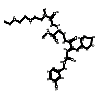 CCOCCOCCN(C)C(=O)CC[C@H](CCC(=O)/C(CC1CCCCC1)=N/C(=O)OCc1cccc(Cl)c1)C(=O)OC